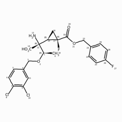 C[C@@H](OCc1ccc(Cl)c(Cl)c1)[C@@](N)(C(=O)O)[C@H]1C[C@]1(F)C(=O)OCc1ccc(F)cc1